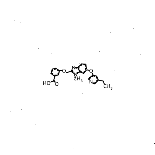 CCc1cncc(Oc2ccc3nc(COc4cccc(C(=O)O)c4)n(C)c3c2)c1